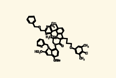 COc1ccc(N2C[C@@H](C)n3c(c(CCCOc4cc(C)c(Cl)c(C)c4)c4ccc(Cl)c(-c5c(C)nc(COCc6ccccc6)nc5C)c43)C2=O)c2c1cc(C(=O)O)n2Cc1ccccn1